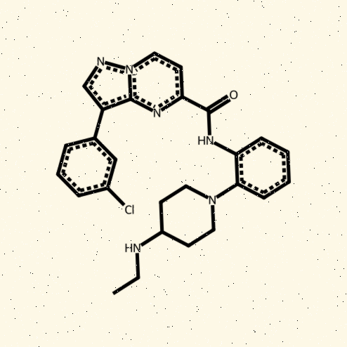 CCNC1CCN(c2ccccc2NC(=O)c2ccn3ncc(-c4cccc(Cl)c4)c3n2)CC1